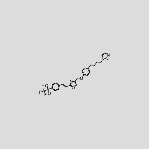 O=S(=O)(c1ccc(C=Cc2nc(COc3ccc(CCCCn4ccnn4)cc3)co2)cc1)C(F)(F)F